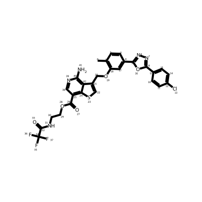 Cc1ccc(-c2nnc(-c3ccc(Cl)cc3)o2)cc1OCc1csc2c(C(=O)OCCNC(=O)C(F)(F)F)cnc(N)c12